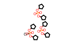 O=P([O-])(OC1CCCC1)OC1CCCC1.O=P([O-])(OC1CCCC1)OC1CCCC1.O=P([O-])(OC1CCCC1)OC1CCCC1.[Cr+3]